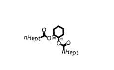 CCCCCCCC(=O)O[C@@H]1CCCC[C@H]1OC(=O)CCCCCCC